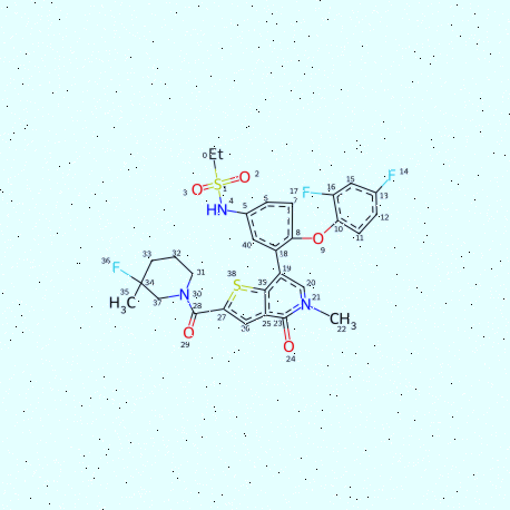 CCS(=O)(=O)Nc1ccc(Oc2ccc(F)cc2F)c(-c2cn(C)c(=O)c3cc(C(=O)N4CCCC(C)(F)C4)sc23)c1